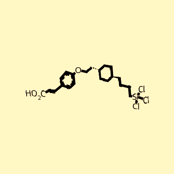 O=C(O)/C=C/c1ccc(OCC[C@H]2CC[C@H](CCCC[Si](Cl)(Cl)Cl)CC2)cc1